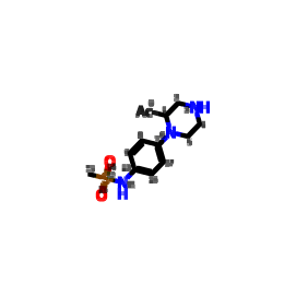 CC(=O)C1CNCCN1c1ccc(NS(C)(=O)=O)cc1